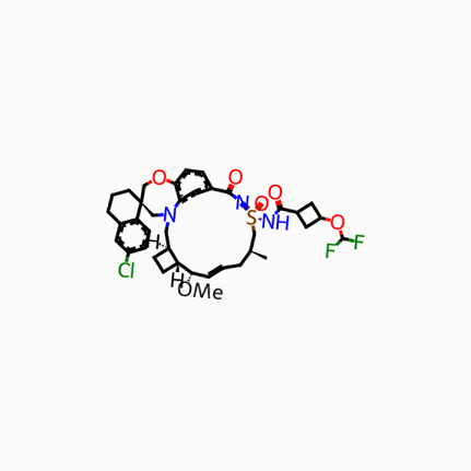 CO[C@H]1/C=C/C[C@H](C)C[S@@](=O)(NC(=O)C2CC(OC(F)F)C2)=NC(=O)c2ccc3c(c2)N(C[C@@H]2CC[C@H]21)C[C@@]1(CCCc2cc(Cl)ccc21)CO3